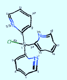 Cl[Si](c1ccccn1)(c1ccccn1)c1ccccn1